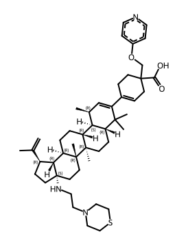 C=C(C)[C@@H]1CC[C@]2(NCCN3CCSCC3)CC[C@]3(C)[C@H](CC[C@@H]4[C@@H]5[C@@H](CC[C@]43C)C(C)(C)C(C3=CCC(COc4ccncc4)(C(=O)O)CC3)=C[C@@H]5C)[C@@H]12